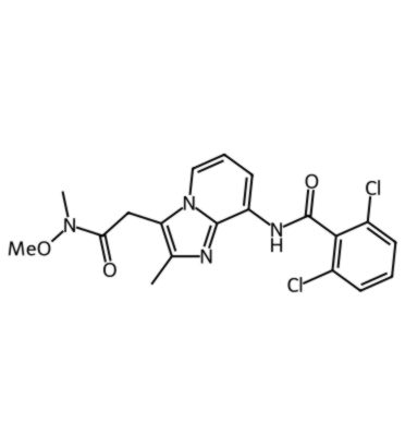 CON(C)C(=O)Cc1c(C)nc2c(NC(=O)c3c(Cl)cccc3Cl)cccn12